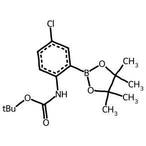 CC(C)(C)OC(=O)Nc1ccc(Cl)cc1B1OC(C)(C)C(C)(C)O1